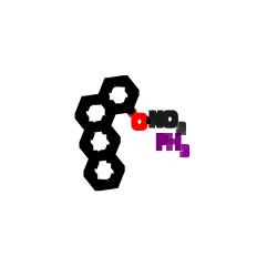 O=[N+]([O-])Oc1cccc2ccc3cc4ccccc4cc3c12.P